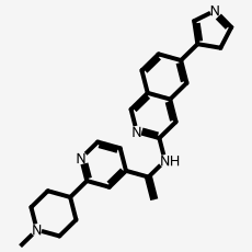 C=C(Nc1cc2cc(C3=CN=CC3)ccc2cn1)c1ccnc(C2CCN(C)CC2)c1